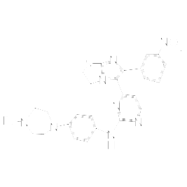 CCN1CCN(c2ccc(Nc3nccc(-c4c(-c5cccc([N+](=O)[O-])c5)nc5n4CCS5)n3)cc2)CC1